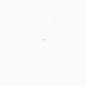 CCOc1ccc(Cc2cc([C@@H]3CCCC(n4ccnc4)O3)ccc2Cl)cc1